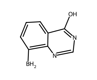 Bc1cccc2c(O)ncnc12